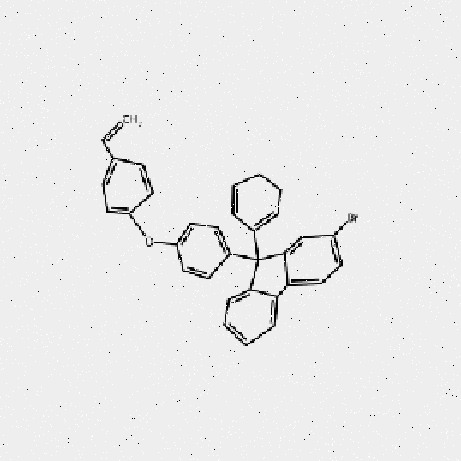 C=Cc1ccc(Oc2ccc(C3(C4=CCCC=C4)c4ccccc4-c4ccc(Br)cc43)cc2)cc1